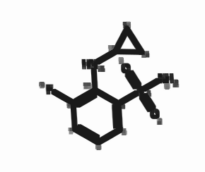 NS(=O)(=O)c1cccc(F)c1NC1CC1